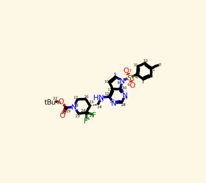 Cc1ccc(S(=O)(=O)n2ccc3c(NC[C@H]4CCN(C(=O)OC(C)(C)C)CC4(F)F)ncnc32)cc1